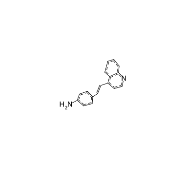 Nc1ccc(C=Cc2ccnc3ccccc23)cc1